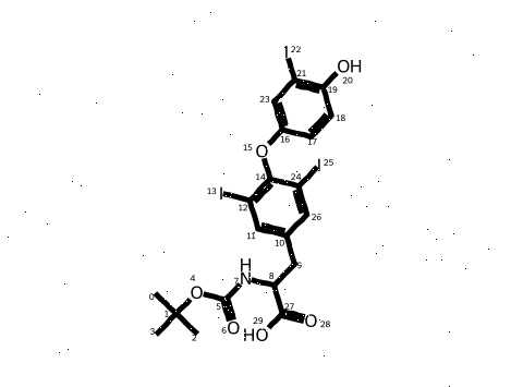 CC(C)(C)OC(=O)NC(Cc1cc(I)c(Oc2ccc(O)c(I)c2)c(I)c1)C(=O)O